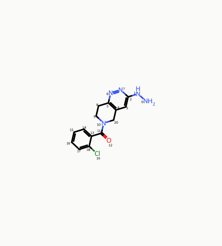 NNc1cc2c(nn1)CCN(C(=O)c1ccccc1Cl)C2